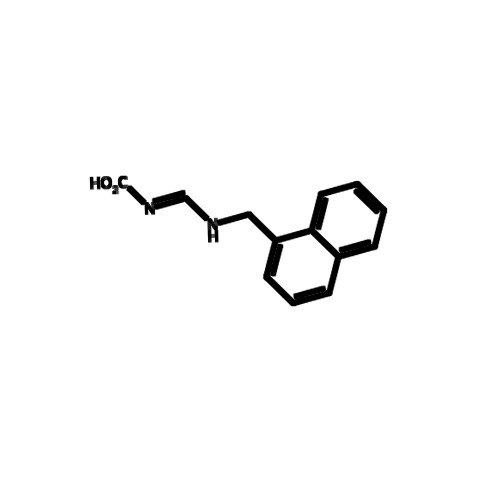 O=C(O)N=CNCc1cccc2ccccc12